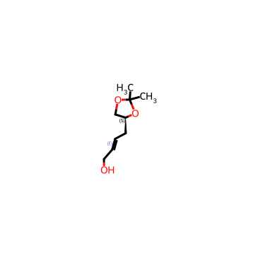 CC1(C)OC[C@H](C/C=C/CO)O1